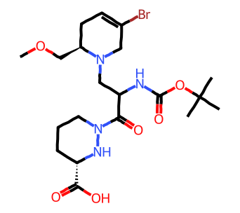 COC[C@H]1CC=C(Br)CN1CC(NC(=O)OC(C)(C)C)C(=O)N1CCC[C@@H](C(=O)O)N1